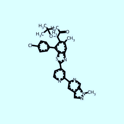 CC(=O)[C@@H](OC(C)(C)C)c1c(C)cc2nc(-c3ccnc(-c4cc5cnn(C)c5cn4)c3)sc2c1-c1ccc(Cl)cc1